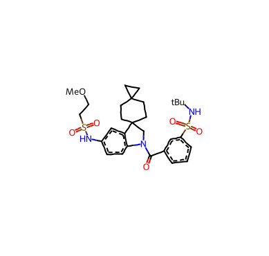 COCCS(=O)(=O)Nc1ccc2c(c1)C1(CCC3(CC3)CC1)CN2C(=O)c1cccc(S(=O)(=O)NC(C)(C)C)c1